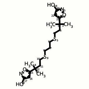 CC(C)(CCSCCCSCCC(C)(C)c1cc(O)no1)c1cc(O)no1